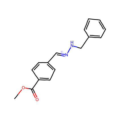 COC(=O)c1ccc(/C=N/NCc2ccccc2)cc1